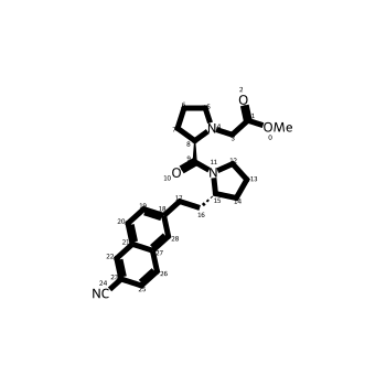 COC(=O)CN1CCC[C@@H]1C(=O)N1CCC[C@@H]1CCc1ccc2cc(C#N)ccc2c1